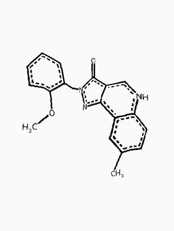 COc1ccccc1-n1nc2c3cc(C)ccc3[nH]cc-2c1=O